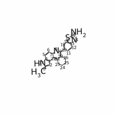 Cc1cc2c(ccc3nc(-c4ccc5nc(N)sc5c4)c4c(c32)CCCC4)[nH]1